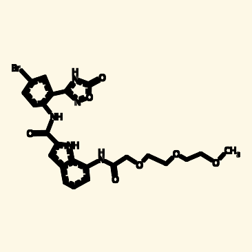 COCCOCCOCC(=O)Nc1cccc2cc(C(=O)Nc3ccc(Br)cc3-c3noc(=O)[nH]3)[nH]c12